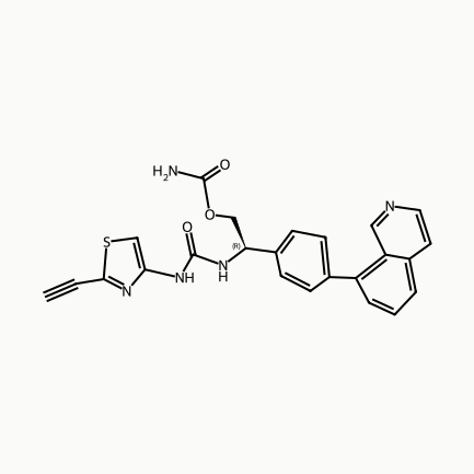 C#Cc1nc(NC(=O)N[C@@H](COC(N)=O)c2ccc(-c3cccc4ccncc34)cc2)cs1